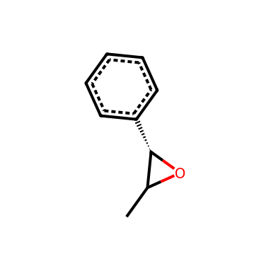 CC1O[C@H]1c1ccccc1